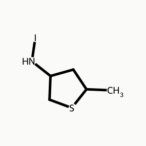 CC1CC(NI)CS1